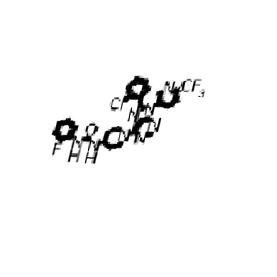 O=C(Nc1ccccc1F)NC1CCN(c2ncnc3c2nc(-c2ccccc2Cl)n3-c2ccc(C(F)(F)F)nc2)CC1